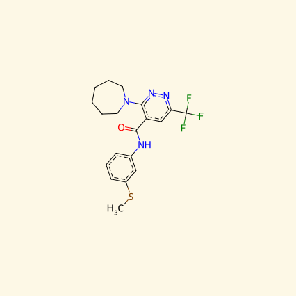 CSc1cccc(NC(=O)c2cc(C(F)(F)F)nnc2N2CCCCCC2)c1